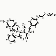 COCCOc1ccc([C@H]2NC(=O)N(C(c3nc4ccc(I)cc4[nH]3)C(C)c3ccccc3)C2=O)cc1